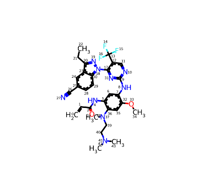 C=CC(=O)Nc1cc(Nc2ncc(C(F)(F)F)c(-n3nc(CC)c4cc(C#N)ccc43)n2)c(OC)cc1N(C)CCN(C)C